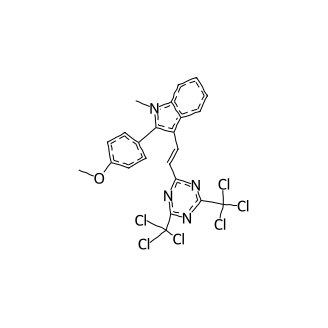 COc1ccc(-c2c(C=Cc3nc(C(Cl)(Cl)Cl)nc(C(Cl)(Cl)Cl)n3)c3ccccc3n2C)cc1